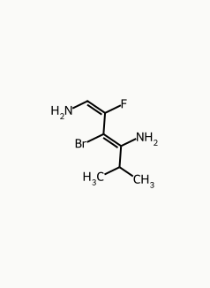 CC(C)/C(N)=C(Br)/C(F)=C\N